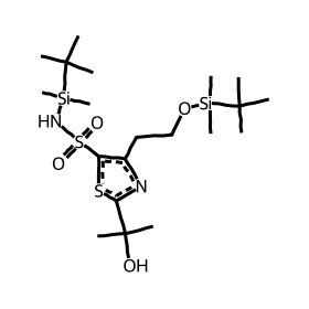 CC(C)(O)c1nc(CCO[Si](C)(C)C(C)(C)C)c(S(=O)(=O)N[Si](C)(C)C(C)(C)C)s1